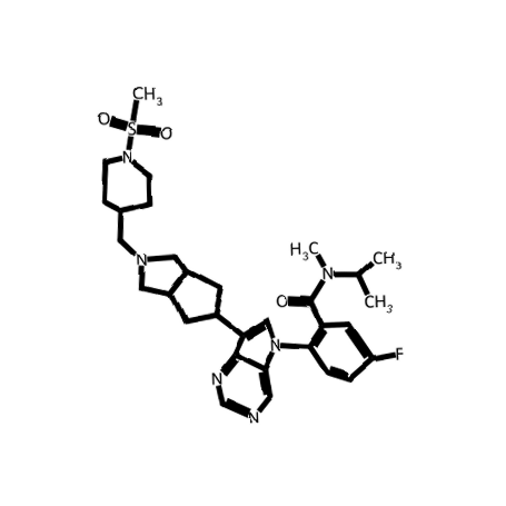 CC(C)N(C)C(=O)c1cc(F)ccc1-n1cc(C2CC3CN(CC4CCN(S(C)(=O)=O)CC4)CC3C2)c2ncncc21